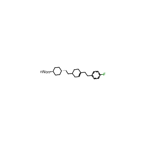 CCCCCCCCC[C@H]1CC[C@H](CCC2CC=C(CCc3ccc(F)cc3)CC2)CC1